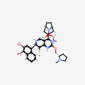 CN1CCC[C@H]1COc1nc(C2CC3CCC(C2)N3C(=O)OC(C)(C)C)c2cnc(-c3cc(O)c(Br)c4ccccc34)c(F)c2n1